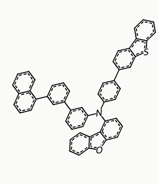 c1cc(-c2cccc(N(c3ccc(-c4ccc5c(c4)sc4ccccc45)cc3)c3cccc4oc5ccccc5c34)c2)cc(-c2cccc3ccccc23)c1